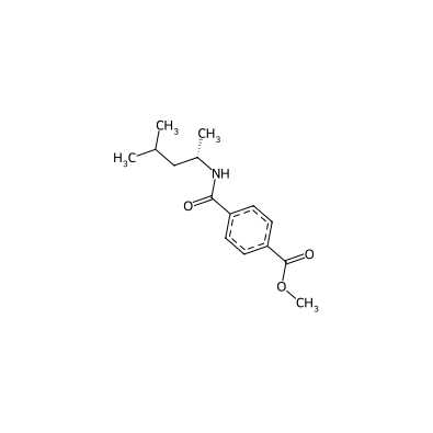 COC(=O)c1ccc(C(=O)N[C@@H](C)CC(C)C)cc1